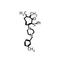 C=C1C(=O)/C(SC(C)C)=C(N2CCN(Cc3cccc(C)c3)CC2)\C=C\CC1C